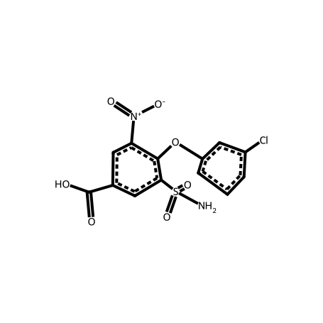 NS(=O)(=O)c1cc(C(=O)O)cc([N+](=O)[O-])c1Oc1cccc(Cl)c1